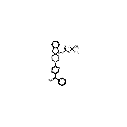 C=C(c1ccccc1)c1cnc(N2CCC3(CC2)Cc2ccccc2[C@H]3NC(=O)OC(C)(C)C)cn1